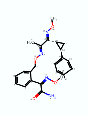 CON=C(C(N)=O)c1ccccc1CO/N=C(\C)C(=NOC)[C@@H]1C[C@H]1c1ccccc1